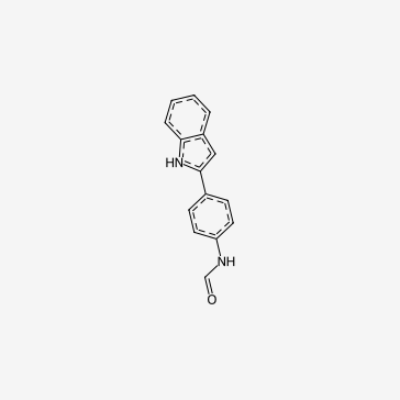 O=CNc1ccc(-c2cc3ccccc3[nH]2)cc1